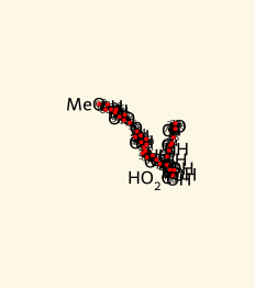 COc1ccc(C2=CN3C(=O)c4ccc(OCCCOc5ccc6c(c5)N=C[C@@H]5CC(c7cccc(NC(=O)OCc8ccc(O[C@@H]9OC(C(=O)O)[C@@H](O)C(O)[C@@H]9O)c(NC(=O)CCNC(=O)CCCCCN9C(=O)C=CC9=O)c8)c7)=CN5C6=O)cc4N=C[C@@H]3C2)cc1